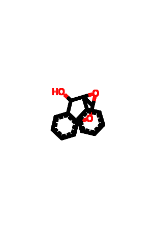 OC1c2ccccc2OC2OC21c1ccccc1